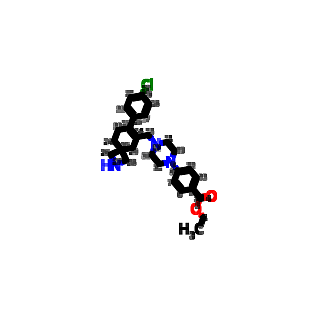 CCOC(=O)c1ccc(N2CCN(CC3=C(c4ccc(Cl)cc4)CCC4(CNC4)C3)CC2)cc1